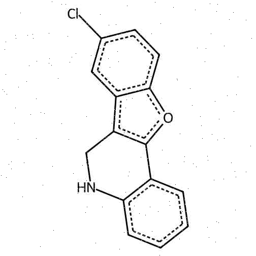 Clc1ccc2oc3c(c2c1)CNc1ccccc1-3